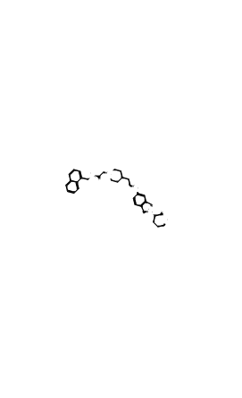 O=C(CN1CCC(CC(=O)Nc2ccc3c(c2)CN(C2CCC(=O)NC2=O)C3=O)CC1)NCc1cccc2ccccc12